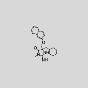 CN1C(=N)NC(COc2ccc3ccccc3c2)(CC2CCCCC2)C1=O